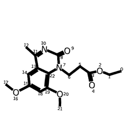 CCOC(=O)CCn1c(=O)nc(C)c2cc(OC)cc(OC)c21